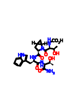 C[C@@H](O)[C@H](NC(=O)[C@H](Cc1c[nH]c2ccccc12)NC(=O)[C@@H]1C[C@@H]2C[C@@H]2N1C(=O)[C@@H](NC(=O)O)[C@@H](C)O)C(N)=O